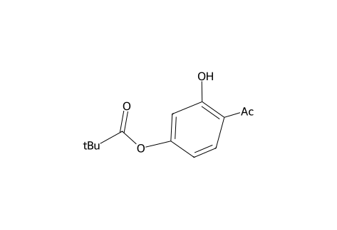 CC(=O)c1ccc(OC(=O)C(C)(C)C)cc1O